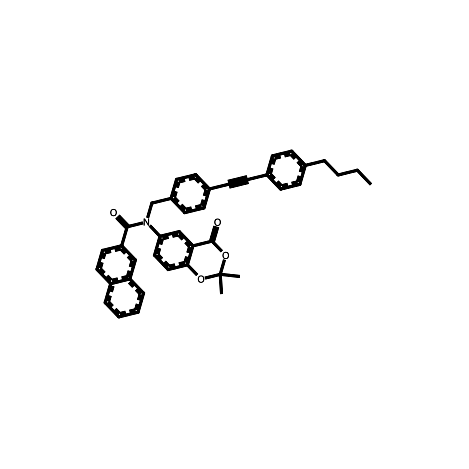 CCCCc1ccc(C#Cc2ccc(CN(C(=O)c3ccc4ccccc4c3)c3ccc4c(c3)C(=O)OC(C)(C)O4)cc2)cc1